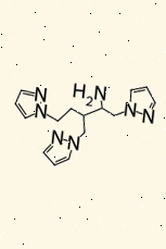 NC(Cn1cccn1)C(CCn1cccn1)Cn1cccn1